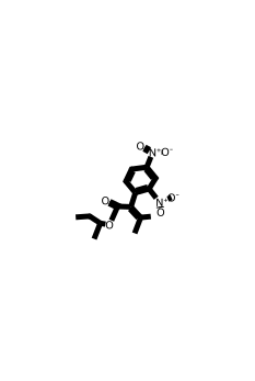 CCC(C)OC(=O)C(=C(C)C)c1ccc([N+](=O)[O-])cc1[N+](=O)[O-]